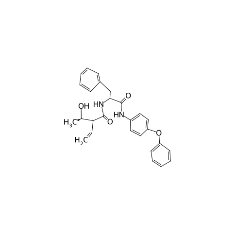 C=CC(C(=O)NC(Cc1ccccc1)C(=O)Nc1ccc(Oc2ccccc2)cc1)[C@@H](C)O